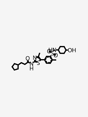 Cc1ccc(-c2sc(NC(=O)CCC3CCCC3)nc2C)cc1S(=O)(=O)NC1CCC(O)CC1